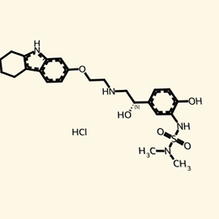 CN(C)S(=O)(=O)Nc1cc([C@H](O)CNCCOc2ccc3c4c([nH]c3c2)CCCC4)ccc1O.Cl